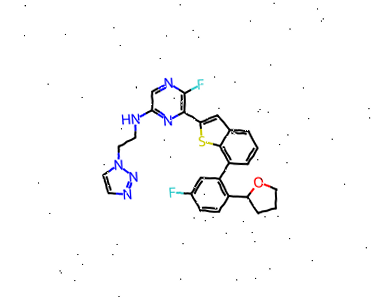 Fc1ccc(C2CCCO2)c(-c2cccc3cc(-c4nc(NCCn5ccnn5)cnc4F)sc23)c1